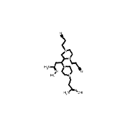 N#CCCN1CCN(CCC#N)C(C(CC(N)=NO)N2CCN(CCC(N)=NO)CC2)C1